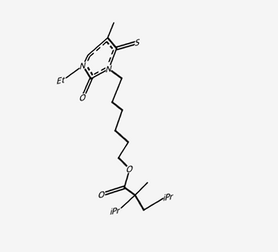 CCn1cc(C)c(=S)n(CCCCCCOC(=O)C(C)(CC(C)C)C(C)C)c1=O